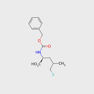 CC(CF)C[C@H](NC(=O)OCc1ccccc1)C(=O)O